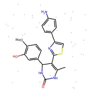 COc1ccc(C2NC(=O)NC(C)=C2c2nc(-c3ccc(N)cc3)cs2)cc1O